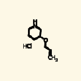 C=CCO[C@H]1CCCNC1.Cl